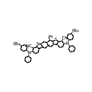 CC(C)c1c2cc3sc4c(C#N)c(N(c5ccccc5)c5ccc(C(C)(C)C)cc5)ccc4c3cc2cc2c1sc1c(C#N)c(N(c3ccccc3)c3ccc(C(C)(C)C)cc3)ccc12